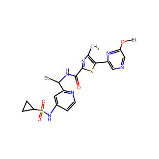 CCOc1cncc(-c2sc(C(=O)NC(CC)c3cc(NS(=O)(=O)C4CC4)ccn3)nc2C)n1